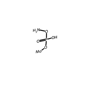 NOP(=O)(O)[O][Mo]